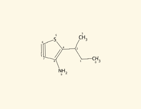 CCC(C)c1sc#cc1N